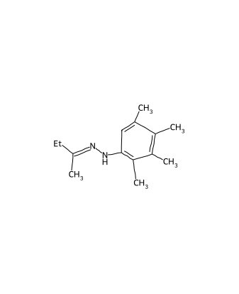 CCC(C)=NNc1cc(C)c(C)c(C)c1C